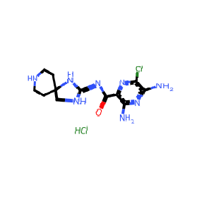 Cl.Nc1nc(N)c(C(=O)/N=C2\NCC3(CCNCC3)N2)nc1Cl